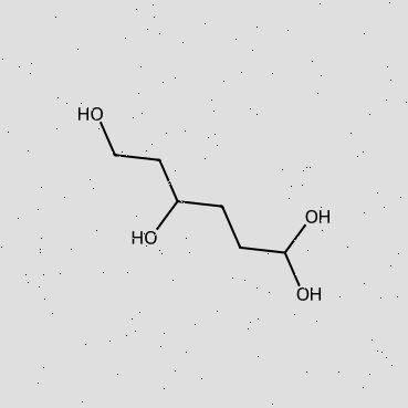 OCCC(O)CCC(O)O